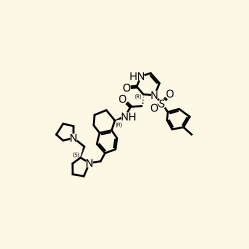 Cc1ccc(S(=O)(=O)N2C=CNC(=O)[C@H]2CC(=O)N[C@@H]2CCCc3cc(CN4CCC[C@H]4CN4CCCC4)ccc32)cc1